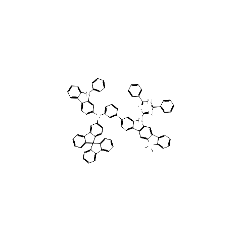 C[Si]1(C)c2ccccc2-c2cc3c(cc21)c1ccc(-c2cccc(N(c4ccc5c(c4)-c4ccccc4C54c5ccccc5-c5ccccc54)c4ccc5c6ccccc6n(-c6ccccc6)c5c4)c2)cc1n3-c1nc(-c2ccccc2)nc(-c2ccccc2)n1